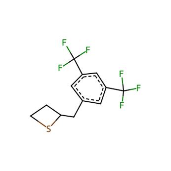 FC(F)(F)c1cc(CC2CCS2)cc(C(F)(F)F)c1